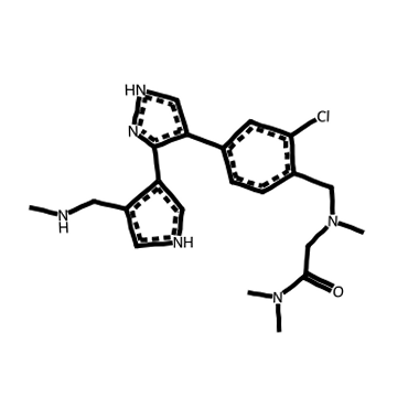 CNCc1c[nH]cc1-c1n[nH]cc1-c1ccc(CN(C)CC(=O)N(C)C)c(Cl)c1